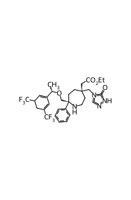 CCOC(=O)C[C@@]1(Cn2cn[nH]c2=O)CCN[C@](CO[C@H](C)C2=CC(C(F)(F)F)CC(C(F)(F)F)=C2)(c2ccccc2)CC1